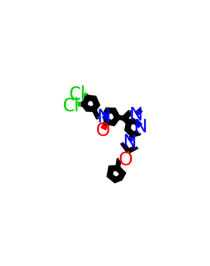 Cn1cc(-c2ccn(Cc3ccc(Cl)c(Cl)c3)c(=O)c2)c2cc(N3CC(OCc4ccccc4)C3)cnc21